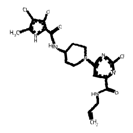 C=CCNC(=O)c1cc(N2CCC(NC(=O)c3[nH]c(C)c(Cl)c3Cl)CC2)nc(Cl)n1